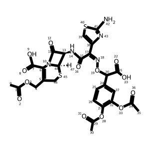 CC(=O)OCC1=C(C(=O)O)N2C(=O)[C@@H](NC(=O)/C(=N\OC(C(=O)O)c3ccc(OC(C)=O)c(OC(C)=O)c3)c3csc(N)n3)[C@H]2SC1